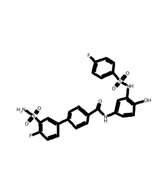 NS(=O)(=O)c1cc(-c2ccc(C(=O)Nc3ccc(O)c(NS(=O)(=O)c4ccc(F)cc4)c3)cc2)ccc1F